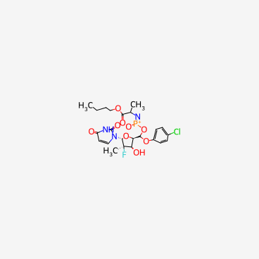 CCCCOC(=O)C(C)/N=[P+](\[O-])OC(Oc1ccc(Cl)cc1)[C@@H]1O[C@@H](n2ccc(=O)[nH]c2=O)[C@](C)(F)[C@@H]1O